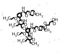 CCCOc1ccc(NC(=O)CN2CCN(C)CC2)cc1-c1nc(CC)c(CC)c(=O)[nH]1.CCCOc1ccc(NC(=O)CN2CCN(C)CC2)cc1-c1nc(CC)c(CC)c(=O)[nH]1.O=C(O)CCC(=O)O